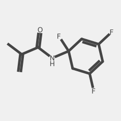 C=C(C)C(=O)NC1(F)C=C(F)C=C(F)C1